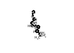 CN(C)CC(N)c1cc(F)cc(-c2cccc3[nH]c(-c4n[nH]c5ccc(-c6cncc(OCCN7CCCC7)c6)nc45)nc23)c1